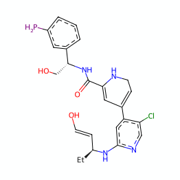 CC[C@@H](/C=C/O)Nc1cc(C2=CCNC(C(=O)N[C@H](CO)c3cccc(P)c3)=C2)c(Cl)cn1